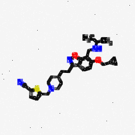 CC(C)NCc1c(OCC2CC2)ccc2c(CCC3CCN(Cc4ccc(C#N)s4)CC3)noc12